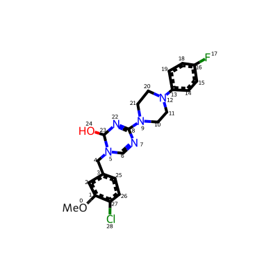 COc1cc(CN2C=NC(N3CCN(c4ccc(F)cc4)CC3)=NC2O)ccc1Cl